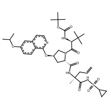 C=CC[C@](C)(NC(=O)[C@@H]1C[C@@H](Oc2nccc3cc(OC(C)C)ccc23)CN1C(=O)[C@@H](NC(=O)OC(C)(C)C)C(C)(C)C)C(=O)NS(=O)(=O)C1CC1